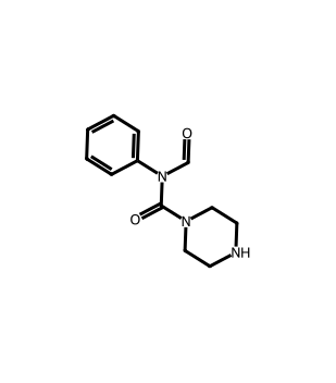 O=CN(C(=O)N1CCNCC1)c1ccccc1